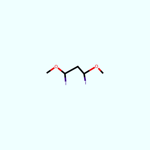 COC(I)CC(I)OC